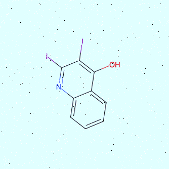 Oc1c(I)c(I)nc2ccccc12